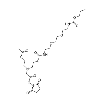 CCCOC(=O)NCCOCCOCCNC(=O)OCCN(CCOC(C)=O)CC(=O)ON1C(=O)CCC1=O